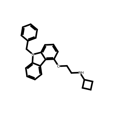 c1ccc(Cn2c3ccccc3c3c(OCCNC4CCC4)cccc32)cc1